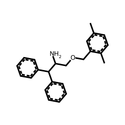 Cc1ccc(C)c(COCC(N)C(c2ccccc2)c2ccccc2)c1